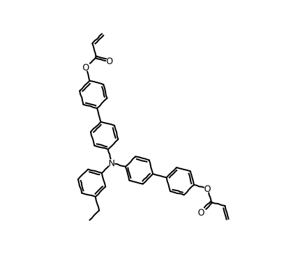 C=CC(=O)Oc1ccc(-c2ccc(N(c3ccc(-c4ccc(OC(=O)C=C)cc4)cc3)c3cccc(CC)c3)cc2)cc1